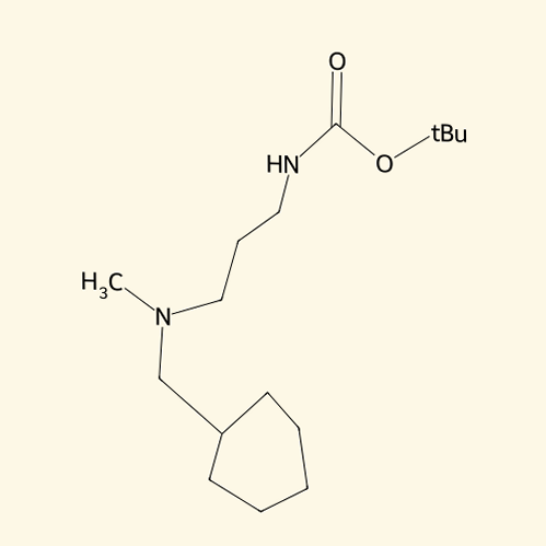 CN(CCCNC(=O)OC(C)(C)C)CC1CCCCC1